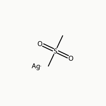 CS(C)(=O)=O.[Ag]